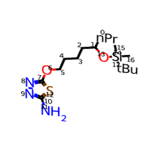 CCCC(CCCCOc1nnc(N)s1)O[Si](C)(C)C(C)(C)C